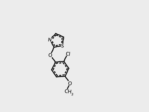 COc1ccc(Oc2nccs2)c(Cl)c1